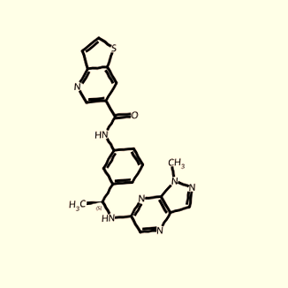 C[C@H](Nc1cnc2cnn(C)c2n1)c1cccc(NC(=O)c2cnc3ccsc3c2)c1